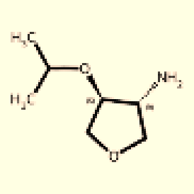 CC(C)O[C@@H]1COC[C@H]1N